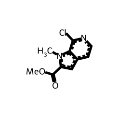 COC(=O)c1cc2ccnc(Cl)c2n1C